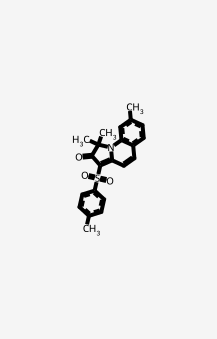 Cc1ccc(S(=O)(=O)C2=C3C=Cc4ccc(C)cc4N3C(C)(C)C2=O)cc1